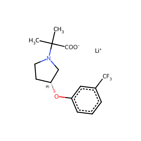 CC(C)(C(=O)[O-])N1CC[C@@H](Oc2cccc(C(F)(F)F)c2)C1.[Li+]